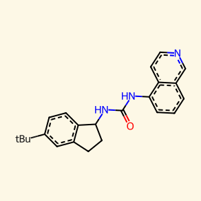 CC(C)(C)c1ccc2c(c1)CCC2NC(=O)Nc1cccc2cnccc12